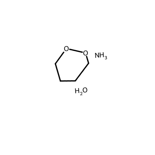 C1CCOOC1.N.O